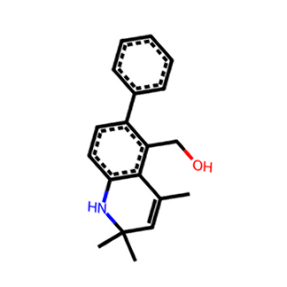 CC1=CC(C)(C)Nc2ccc(-c3ccccc3)c(CO)c21